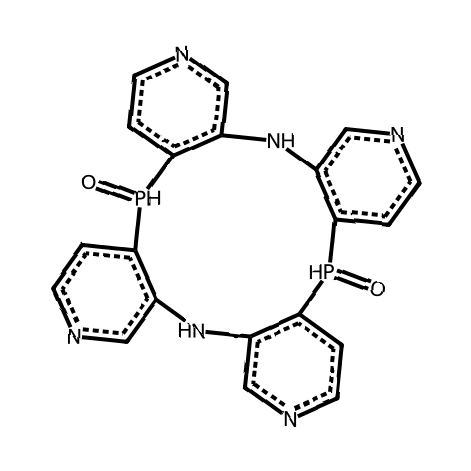 O=[PH]1c2ccncc2Nc2cnccc2[PH](=O)c2ccncc2Nc2cnccc21